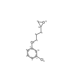 Clc1cccc(OCCCC2CO2)c1